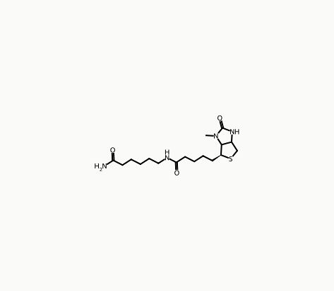 CN1C(=O)NC2CS[C@@H](CCCCC(=O)NCCCCCC(N)=O)C21